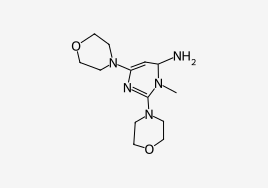 CN1C(N2CCOCC2)=NC(N2CCOCC2)=CC1N